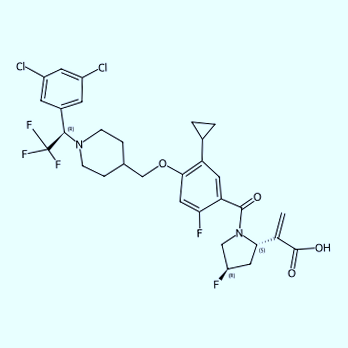 C=C(C(=O)O)[C@@H]1C[C@@H](F)CN1C(=O)c1cc(C2CC2)c(OCC2CCN([C@H](c3cc(Cl)cc(Cl)c3)C(F)(F)F)CC2)cc1F